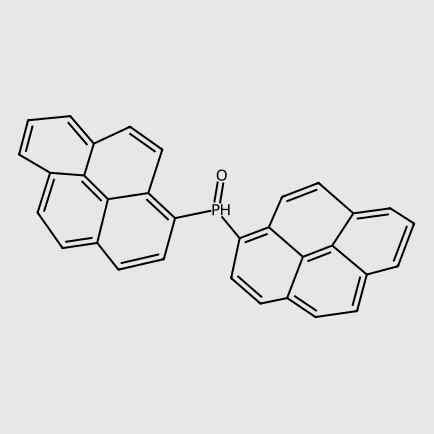 O=[PH](c1ccc2ccc3cccc4ccc1c2c34)c1ccc2ccc3cccc4ccc1c2c34